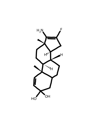 C[C@]12C=CC(O)(O)CC1CC[C@@H]1[C@@H]2CC[C@]2(C)C(N)=C(F)C[C@@H]12